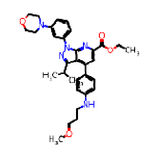 CCOC(=O)c1cc(-c2ccc(NCCCOC)cc2)c2c(C(C)C)nn(-c3cccc(N4CCOCC4)c3)c2n1